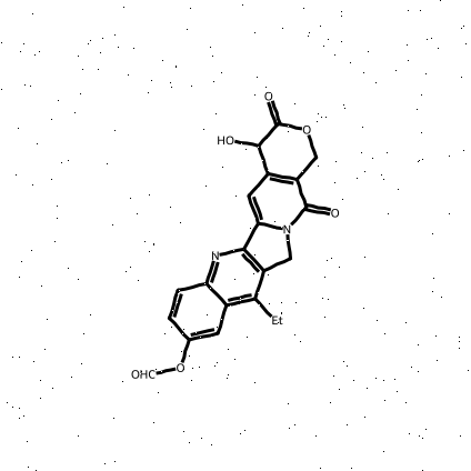 CCc1c2c(nc3ccc(OC=O)cc13)-c1cc3c(c(=O)n1C2)COC(=O)C3O